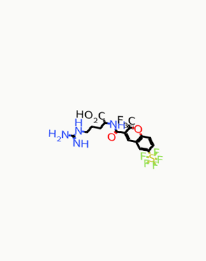 N=C(N)NCCCC(NC(=O)C1=Cc2cc(S(F)(F)(F)(F)F)ccc2O[C@@H]1C(F)(F)F)C(=O)O